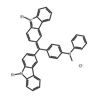 CCn1c2ccccc2c2cc(C(c3ccc(N(C)c4ccccc4)cc3)=c3ccc4c(c3)-c3ccccc3[N+]=4CC)ccc21.[Cl-]